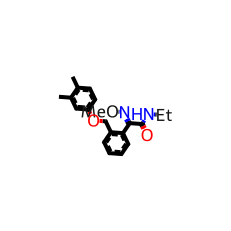 CCNC(=O)/C(=N/OC)c1ccccc1COc1ccc(C)c(C)c1